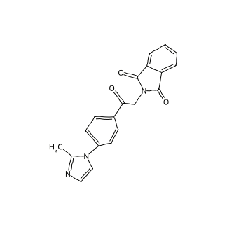 Cc1nccn1-c1ccc(C(=O)CN2C(=O)c3ccccc3C2=O)cc1